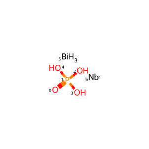 O=P(O)(O)O.[BiH3].[Nb]